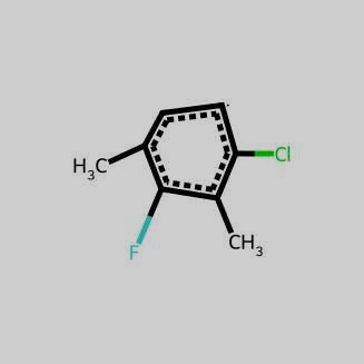 Cc1c[c]c(Cl)c(C)c1F